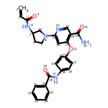 C=CC(=O)NC1CCN(c2cc(Oc3ccc(NC(=O)c4ccccc4)cc3)c(C(N)=O)cn2)C1